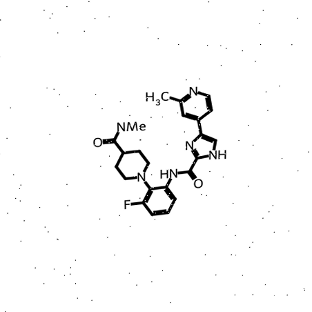 CNC(=O)C1CCN(c2c(F)cccc2NC(=O)c2nc(-c3ccnc(C)c3)c[nH]2)CC1